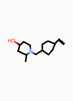 C=CC1CCC(CN2CCC(O)CC2C)CC1